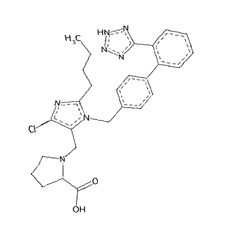 CCCCc1nc(Cl)c(CN2CCCC2C(=O)O)n1Cc1ccc(-c2ccccc2-c2nn[nH]n2)cc1